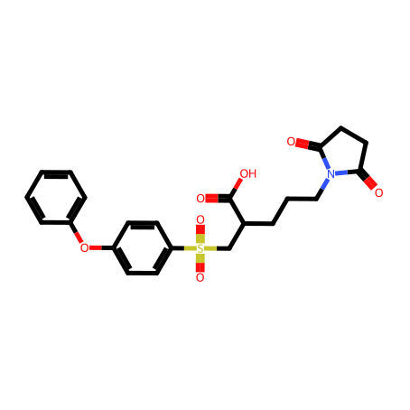 O=C(O)C(CCCN1C(=O)CCC1=O)CS(=O)(=O)c1ccc(Oc2ccccc2)cc1